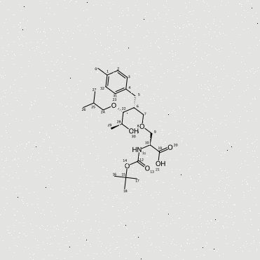 Cc1ccc(C[C@H](COC[C@H](NC(=O)OC(C)(C)C)C(=O)O)[C@@H](OCC(C)C)[C@H](C)O)cc1